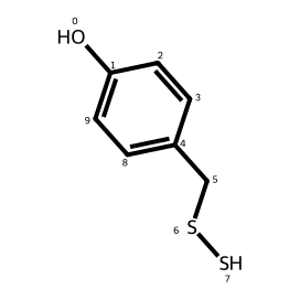 Oc1ccc(CSS)cc1